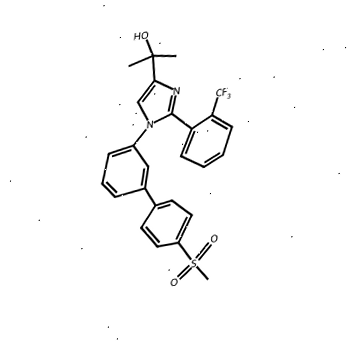 CC(C)(O)c1cn(-c2cccc(-c3ccc(S(C)(=O)=O)cc3)c2)c(-c2ccccc2C(F)(F)F)n1